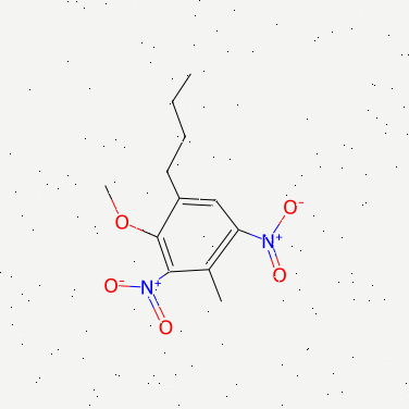 CCCCc1cc([N+](=O)[O-])c(C)c([N+](=O)[O-])c1OC